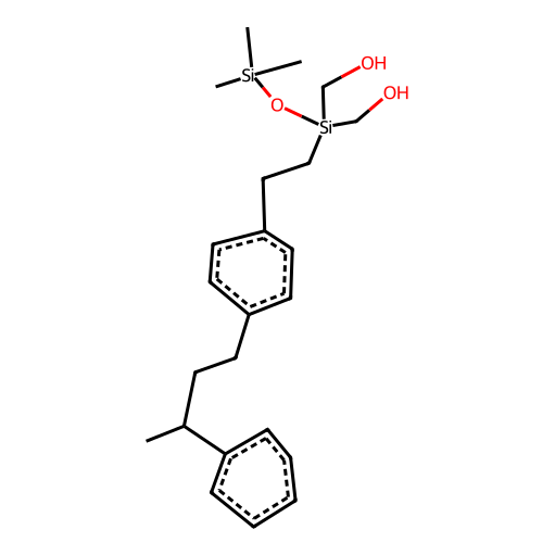 CC(CCc1ccc(CC[Si](CO)(CO)O[Si](C)(C)C)cc1)c1ccccc1